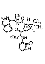 CC(C)(C)C(Nc1ccc[nH]c1=O)C(=O)N1C[C@H]2[C@@H]([C@H]1C(=O)NC(C#N)c1nncc3ccccc13)C2(C)C